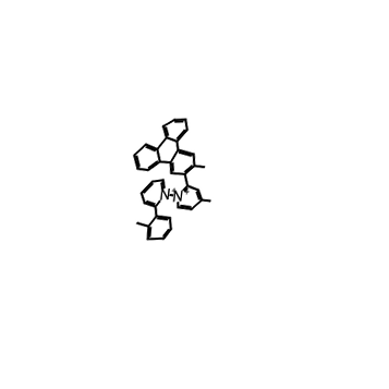 Cc1cc[n+](-[n+]2ccccc2-c2ccccc2C)c(-c2cc3c4ccccc4c4ccccc4c3cc2C)c1